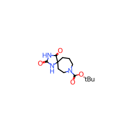 CC(C)(C)OC(=O)N1CCCC2(CC1)NC(=O)NC2=O